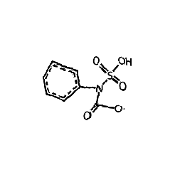 [O]C(=O)N(c1ccccc1)S(=O)(=O)O